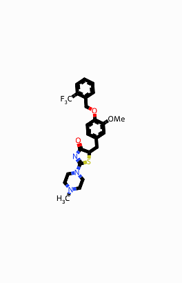 COc1cc(CC2SC(N3CCN(C)CC3)=NC2=O)ccc1OCc1ccccc1C(F)(F)F